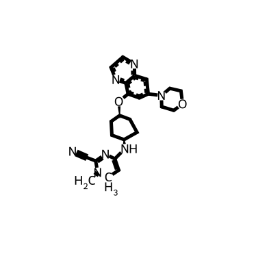 C=N/C(C#N)=N\C(=C/C)N[C@H]1CC[C@@H](Oc2cc(N3CCOCC3)cc3nccnc23)CC1